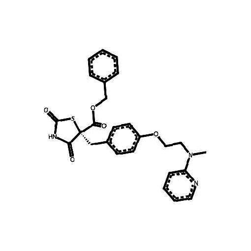 CN(CCOc1ccc(C[C@@]2(C(=O)OCc3ccccc3)SC(=O)NC2=O)cc1)c1ccccn1